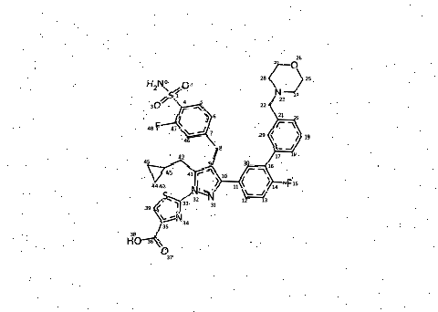 NS(=O)(=O)c1ccc(Cc2c(-c3ccc(F)c(-c4cccc(CN5CCOCC5)c4)c3)nn(-c3nc(C(=O)O)cs3)c2CC2CC2)cc1F